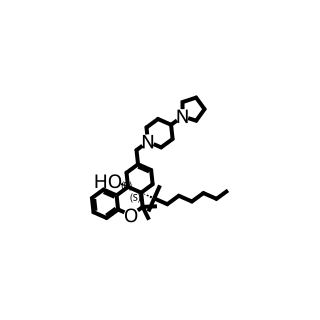 CCCCCCC(C)(C)[C@@]12CC=C(CN3CCC(N4CCCC4)CC3)C[C@]1(O)c1ccccc1OC2(C)C